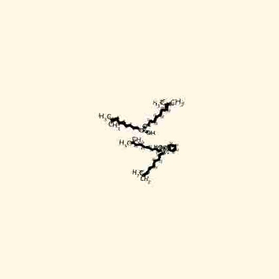 CC(C)CCCCCCCOP(O)OCCCCCCCC(C)C.CC(C)CCCCCCCP(O)(O)(CCCCCCCC(C)C)Oc1ccccc1